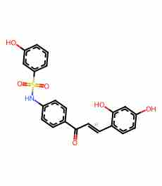 O=C(/C=C/c1ccc(O)cc1O)c1ccc(NS(=O)(=O)c2cccc(O)c2)cc1